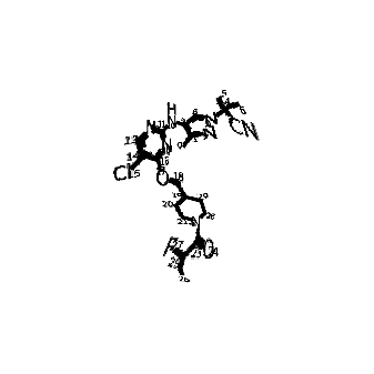 Cc1nn(C(C)(C)C#N)cc1Nc1ncc(Cl)c(OCC2CCN(C(=O)C(C)F)CC2)n1